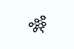 C=C/C=C(\C=C)n1c2c(c3ccccc31)N(c1ccccc1)c1cccc3c1B2c1ccccc1N3c1ccccc1